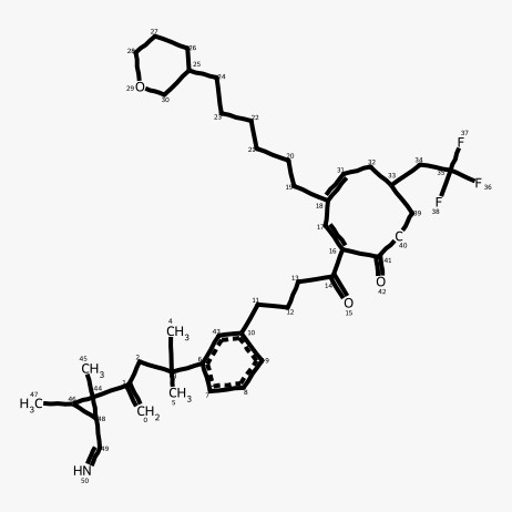 C=C(CC(C)(C)c1cccc(CCCC(=O)/C2=C/C(CCCCCCC3CCCOC3)=C\CC(CC(F)(F)F)CCC2=O)c1)C1(C)C(C)C1C=N